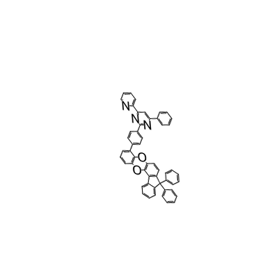 c1ccc(-c2cc(-c3ccccn3)nc(-c3ccc(-c4cccc5c4Oc4ccc6c(c4O5)-c4ccccc4C6(c4ccccc4)c4ccccc4)cc3)n2)cc1